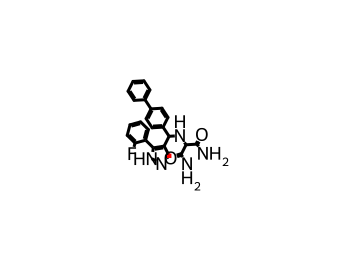 NC(=O)C(NC(c1ccc(-c2ccccc2)cc1)c1cn[nH]c1-c1ccccc1F)C(N)=O